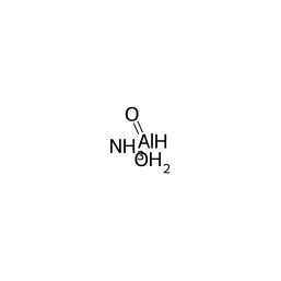 N.O.[O]=[AlH]